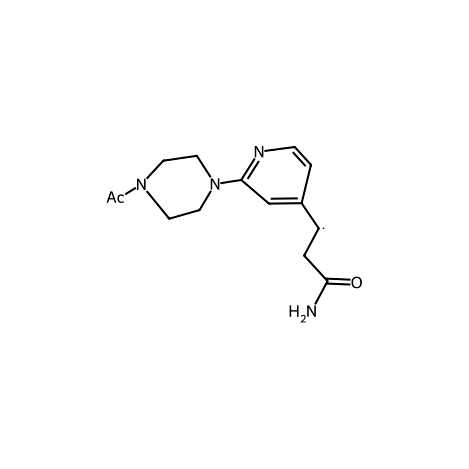 CC(=O)N1CCN(c2cc([CH]CC(N)=O)ccn2)CC1